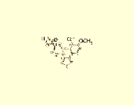 COc1ccc(C2=CCC=C2c2ccc(S(N)(=O)=O)cc2)cc1Cl